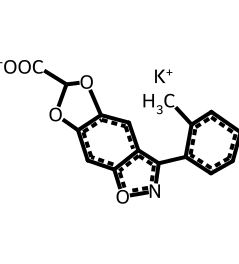 Cc1ccccc1-c1noc2cc3c(cc12)OC(C(=O)[O-])O3.[K+]